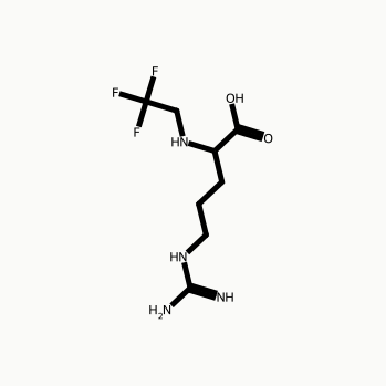 N=C(N)NCCCC(NCC(F)(F)F)C(=O)O